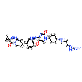 N=CNCCCNC1CCC(n2cc3c(nc2=O)Nc2cc(C4CCN(C(=O)C5(N)CC5)CC4)ccc2O3)CC1